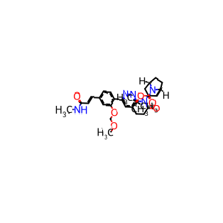 CNC(=O)/C=C/c1ccc(-c2cc3c(nn2)N(C2C[C@H]4CC[C@@H](C2)N4C(=O)OC(C)(C)C)C(=O)CC3)c(OCOC)c1